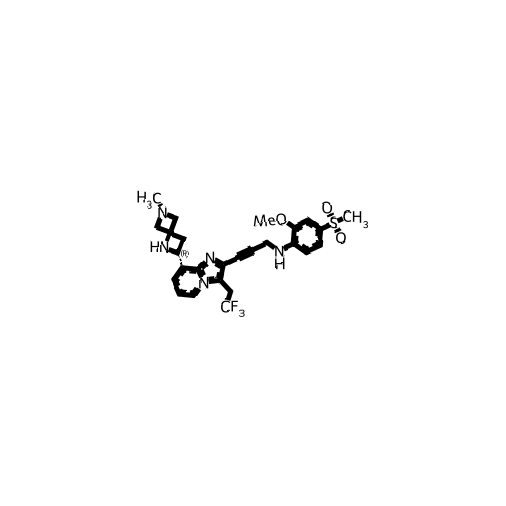 COc1cc(S(C)(=O)=O)ccc1NCC#Cc1nc2c([C@H]3CC4(CN(C)C4)N3)cccn2c1CC(F)(F)F